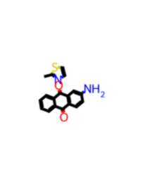 Cc1nccs1.Nc1ccc2c(c1)C(=O)c1ccccc1C2=O